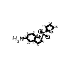 Nc1ccc2c(ccn2S(=O)(=O)c2cccs2)c1